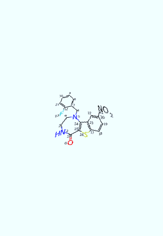 O=C1NCCN(Cc2ccccc2F)c2c1sc1ccc([N+](=O)[O-])cc21